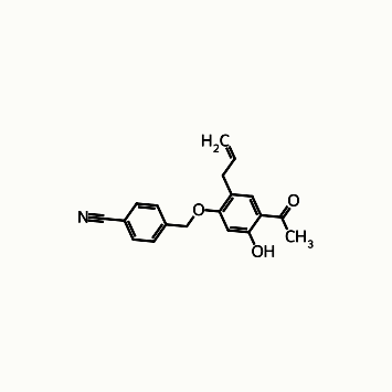 C=CCc1cc(C(C)=O)c(O)cc1OCc1ccc(C#N)cc1